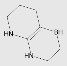 B1CCNC2=C1CCCN2